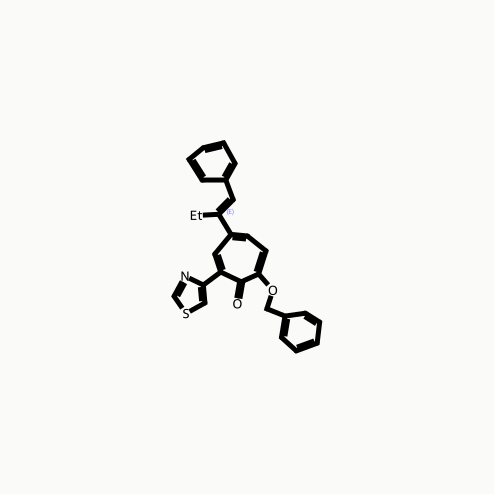 CC/C(=C\c1ccccc1)c1ccc(OCc2ccccc2)c(=O)c(-c2cscn2)c1